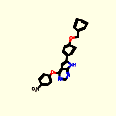 O=[N+]([O-])c1ccc(Oc2ncnc3[nH]c(-c4ccc(OCc5ccccc5)cc4)cc23)cc1